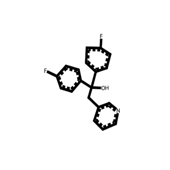 OC(Cc1cccnc1)(c1ccc(F)cc1)c1ccc(F)cc1